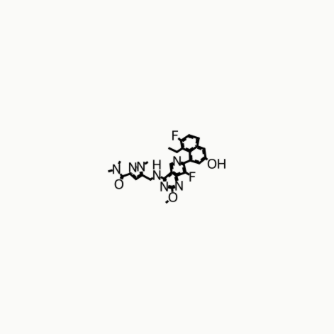 CCc1c(F)ccc2cc(O)cc(-c3ncc4c(NCc5cc(C(=O)N(C)C)nn5C)nc(OC)nc4c3F)c12